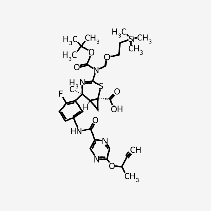 C#CC(C)Oc1cnc(C(=O)Nc2ccc(F)c([C@@]3(C)N=C(N(COCC[Si](C)(C)C)C(=O)OC(C)(C)C)S[C@@]4(C(=O)O)C[C@H]43)c2)cn1